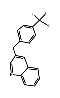 FC(F)(F)c1ccc(Cc2cnc3ccccc3c2)cc1